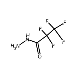 NNC(=O)C(F)(F)C(F)(F)F